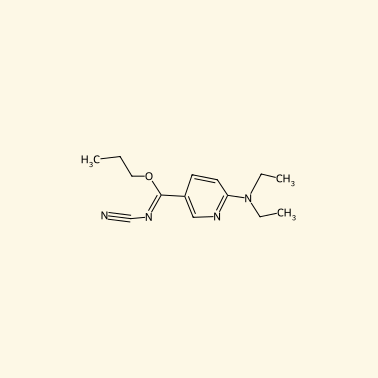 CCCO/C(=N\C#N)c1ccc(N(CC)CC)nc1